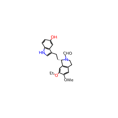 CCOc1cc2c(cc1OC)CCN(C=O)[C@H]2CCc1c[nH]c2ccc(O)cc12